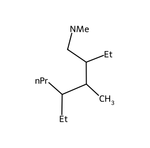 CCCC(CC)C(C)C(CC)CNC